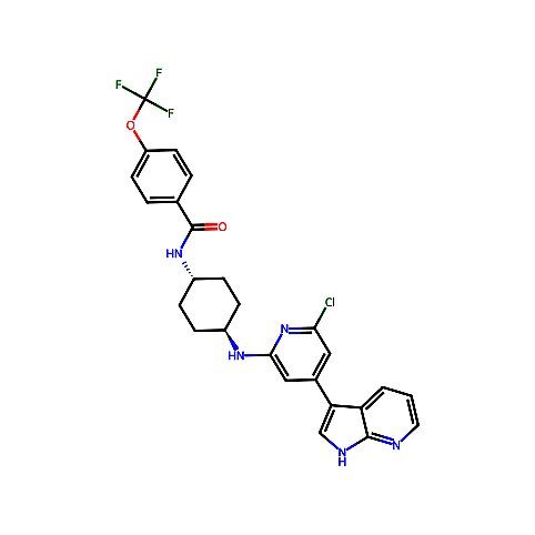 O=C(N[C@H]1CC[C@H](Nc2cc(-c3c[nH]c4ncccc34)cc(Cl)n2)CC1)c1ccc(OC(F)(F)F)cc1